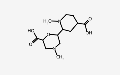 CN1CC(C(=O)O)OC(C2CC(C(=O)O)CCN2C)C1